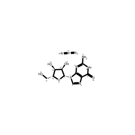 Nc1nc2c(ncn2[C@@H]2O[C@H](CO)[C@@H](O)[C@H]2O)c(=O)[nH]1.[N-]=[N+]=[N-]